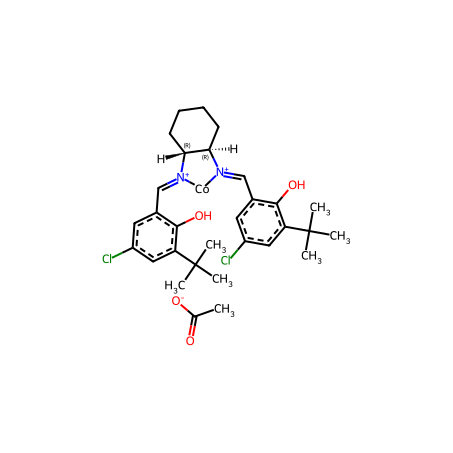 CC(=O)[O-].CC(C)(C)c1cc(Cl)cc(C=[N+]2[Co][N+](=Cc3cc(Cl)cc(C(C)(C)C)c3O)[C@@H]3CCCC[C@H]32)c1O